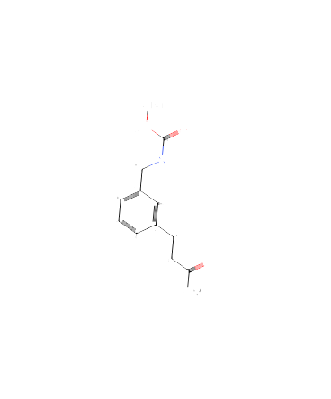 COC(=O)CCc1cccc(CNC(=O)OC(C)(C)C)c1